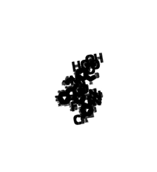 CCc1c(OP(=O)(O)O)ccc2c1nc(C(Cc1ccccc1)n1cc(F)c(-c3cc(Cl)ccc3-n3cnnn3)cc1=O)n2CC